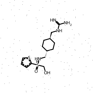 N=C(N)NC[C@H]1CC[C@H](CN[SH](=O)(CO)c2cccs2)CC1